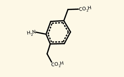 Nc1cc(CC(=O)O)ccc1CC(=O)O